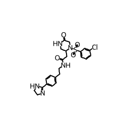 O=C(CC1CNC(=O)CN1S(=O)(=O)c1cccc(Cl)c1)NCCc1ccc(C2=NCCN2)cc1